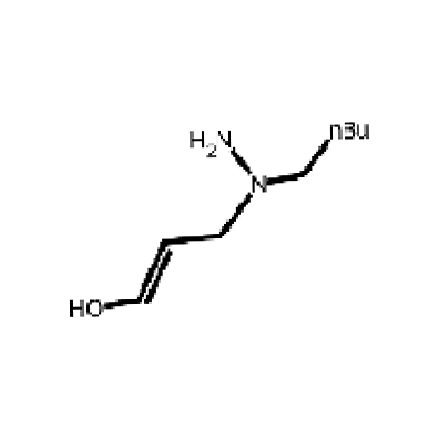 CCCCCN(N)CC=CO